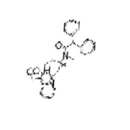 CN(C(=O)C(c1ccccc1)c1ccccc1)[C@@H]1CCc2c(CC(=O)O)c3ccccn3c2C1